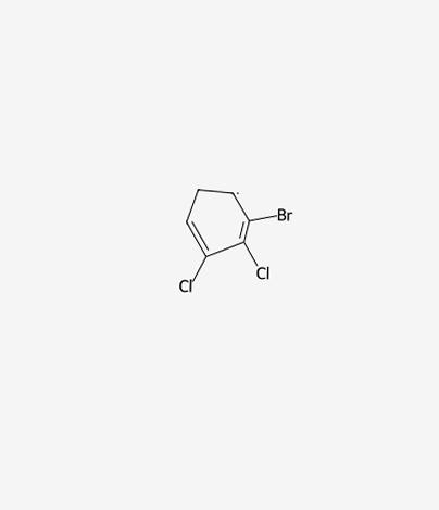 ClC1=CC[CH]C(Br)=C1Cl